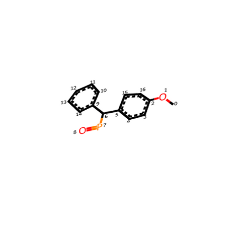 COc1ccc(C(P=O)c2ccccc2)cc1